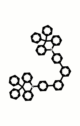 c1ccc(C2(c3ccccc3)c3ccccc3N(c3ccc(-c4cccc(-c5cccc(-c6ccc(N7c8ccccc8C(c8ccccc8)(c8ccccc8)c8ccccc87)cc6)c5)c4)cc3)c3ccccc32)cc1